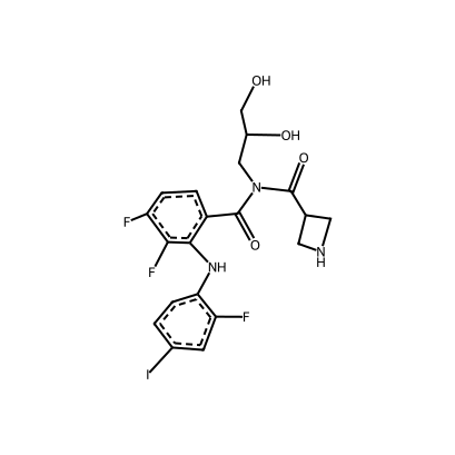 O=C(c1ccc(F)c(F)c1Nc1ccc(I)cc1F)N(CC(O)CO)C(=O)C1CNC1